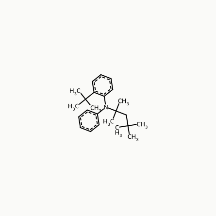 CC(C)(C)CC(C)(C)N(c1ccccc1)c1ccccc1C(C)(C)C